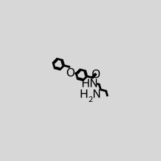 CCC(N)CNC(=O)c1ccc(OCc2ccccc2)cc1